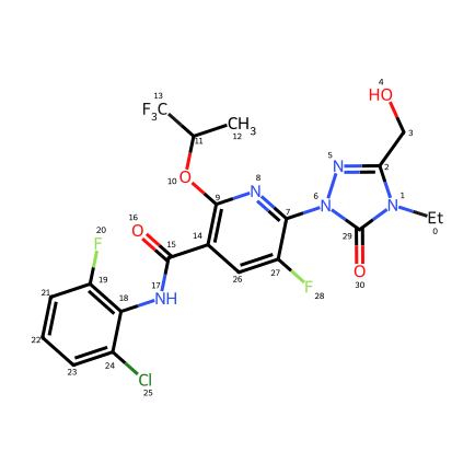 CCn1c(CO)nn(-c2nc(OC(C)C(F)(F)F)c(C(=O)Nc3c(F)cccc3Cl)cc2F)c1=O